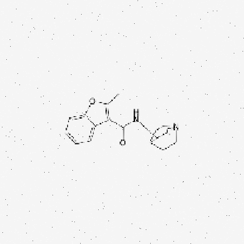 Cc1oc2ccccc2c1C(=O)NC1CN2CCC1CC2